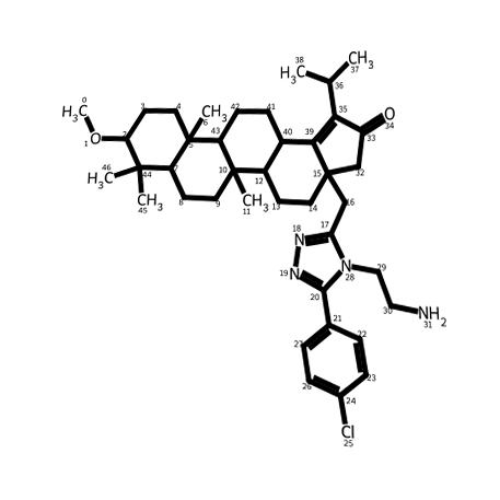 COC1CCC2(C)C(CCC3(C)C4CCC5(Cc6nnc(-c7ccc(Cl)cc7)n6CCN)CC(=O)C(C(C)C)=C5C4CCC32)C1(C)C